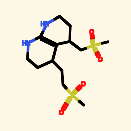 CS(=O)(=O)CCC1CCNC2=C1C(CS(C)(=O)=O)CCN2